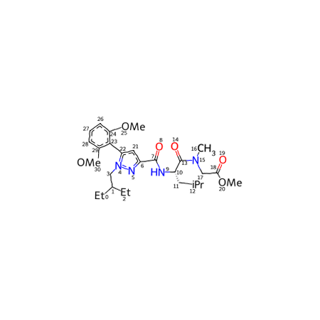 CCC(CC)Cn1nc(C(=O)N[C@@H](CC(C)C)C(=O)N(C)CC(=O)OC)cc1-c1c(OC)cccc1OC